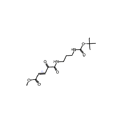 COC(=O)/C=C/C(=O)C(=O)NCCCNC(=O)OC(C)(C)C